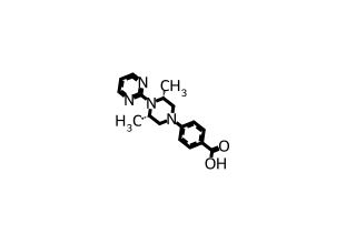 C[C@@H]1CN(c2ccc(C(=O)O)cc2)C[C@H](C)N1c1ncccn1